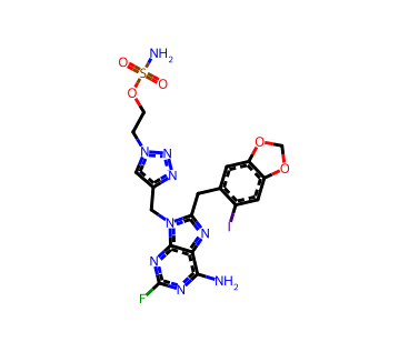 Nc1nc(F)nc2c1nc(Cc1cc3c(cc1I)OCO3)n2Cc1cn(CCOS(N)(=O)=O)nn1